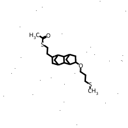 CSCCCOC1CC2CC1C1C3CC(CCSC(C)=O)C(C3)C21